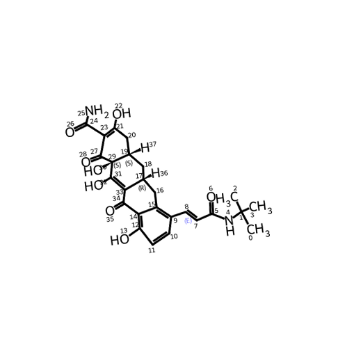 CC(C)(C)NC(=O)/C=C/c1ccc(O)c2c1C[C@H]1C[C@H]3CC(O)=C(C(N)=O)C(=O)[C@@]3(O)C(O)=C1C2=O